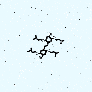 CC(C)CCOc1cc(CCc2cc(OCCC(C)C)c(Br)cc2OCCC(C)C)c(OCCC(C)C)cc1Br